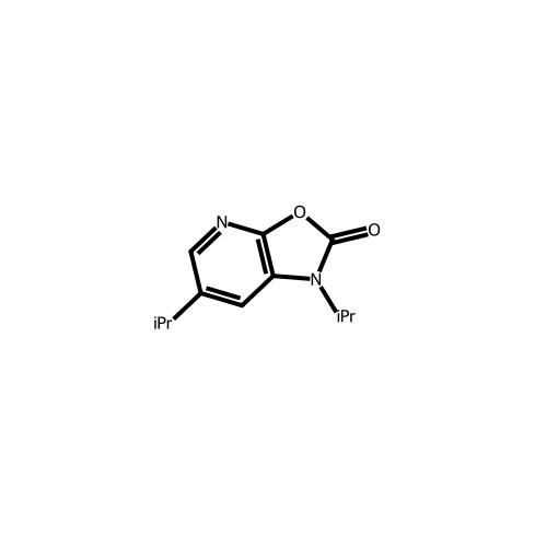 CC(C)c1cnc2oc(=O)n(C(C)C)c2c1